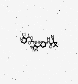 C[C@@H](OC(=O)Nc1c(-c2ccc(NC(=O)C3(C#N)CC3(C)C)cn2)nnn1C)c1cccnc1Cl